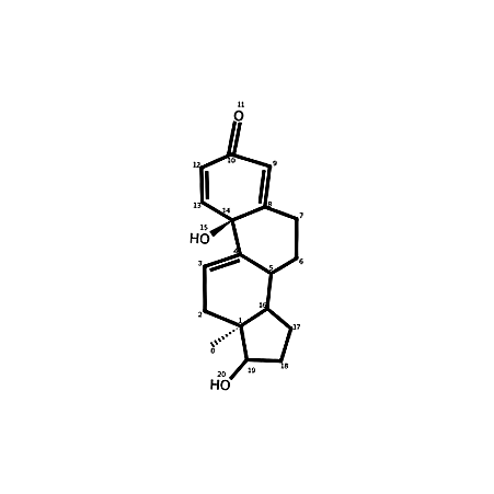 C[C@]12CC=C3C(CCC4=CC(=O)C=C[C@]43O)C1CCC2O